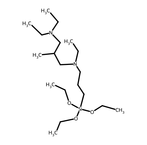 CCO[Si](CCCN(CC)CC(C)CN(CC)CC)(OCC)OCC